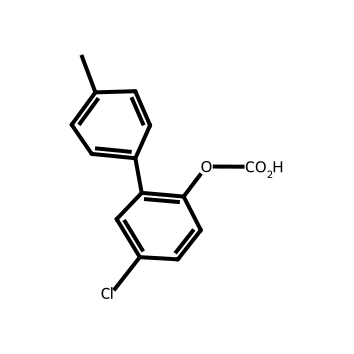 Cc1ccc(-c2cc(Cl)ccc2OC(=O)O)cc1